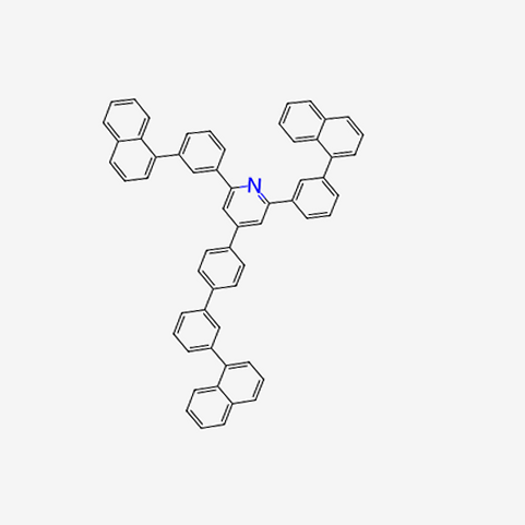 c1cc(-c2ccc(-c3cc(-c4cccc(-c5cccc6ccccc56)c4)nc(-c4cccc(-c5cccc6ccccc56)c4)c3)cc2)cc(-c2cccc3ccccc23)c1